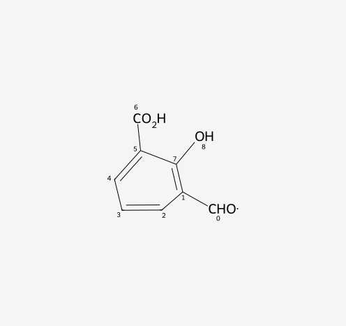 O=[C]c1cccc(C(=O)O)c1O